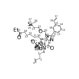 C=CCCCNC(=O)c1nc(-c2cccc(C=C)c2)n(COCC[Si](C)(C)C)c1C(CCCCCC(=O)CC)N[S@+]([O-])C(C)(C)C